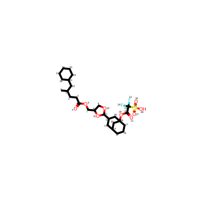 CC(CCC(=O)OCC1COC(C2CC3CCCC(OC(=O)C(F)(F)S(=O)(=O)O)(C3)C2)O1)CC1CCCCC1